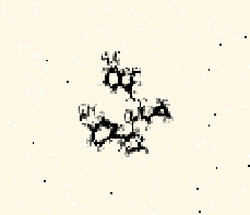 COc1ccc(-c2nccnc2C(=O)N(CCc2c[nH]c3c(C)cccc23)CC2CC2)cc1